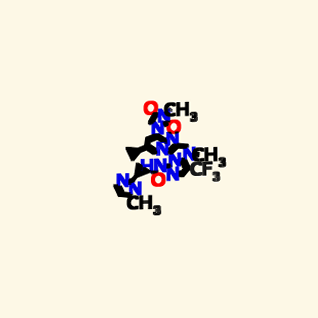 Cc1ccnc([C@H]2C[C@@H]2C(=O)Nc2ncc(C(F)(F)F)c(N(C)Cc3cn4cc(C5CC5)cc(N5CC(=O)N(C)C5=O)c4n3)n2)n1